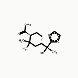 COC(=O)[C@H]1CC[C@H]([C@@](C)(O)c2nccs2)CC1(C)C